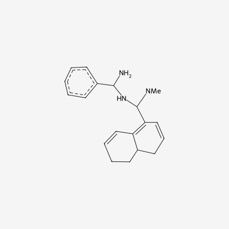 CNC(NC(N)c1ccccc1)C1=C2C=CCCC2CC=C1